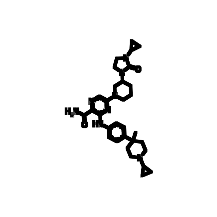 CC1(c2ccc(Nc3nc(N4CCCC(N5CCN(C6CC6)C5=O)C4)cnc3C(N)=O)cc2)CCN(C2CC2)CC1